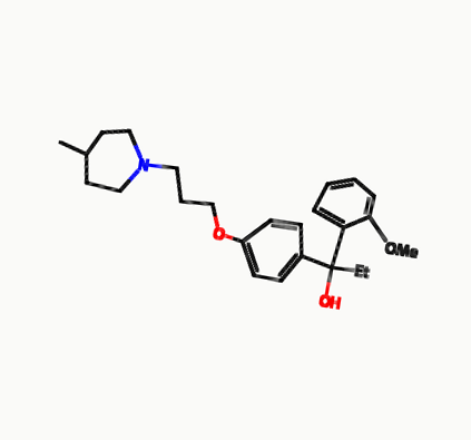 CCC(O)(c1ccc(OCCCN2CCC(C)CC2)cc1)c1ccccc1OC